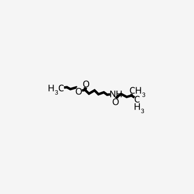 CCCCOC(=O)CCCCCNC(=O)CCC(C)C